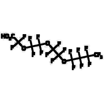 O=C(O)C(F)(F)OC(F)(F)C(F)(F)OC(F)(F)C(F)(F)OC(F)(F)C(F)(F)C(F)(F)C(F)(F)F